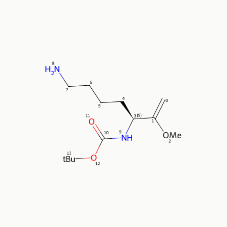 C=C(OC)[C@H](CCCCN)NC(=O)OC(C)(C)C